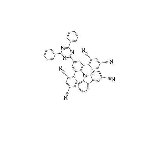 N#Cc1ccc(-c2cc(-c3nc(-c4ccccc4)nc(-c4ccccc4)n3)cc(-c3ccc(C#N)cc3C#N)c2-n2c3ccccc3c3cc(C#N)ccc32)c(C#N)c1